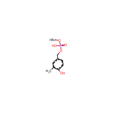 CCCCOP(=O)(O)OCc1ccc(O)c(C)c1